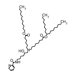 CCCCCCCCCCCOC(=O)CCCCCN(CCCCCCCC(=O)OC(CCCCCCCC)CCCCCCCC)CC(O)CCCCNC(=O)c1ccccn1